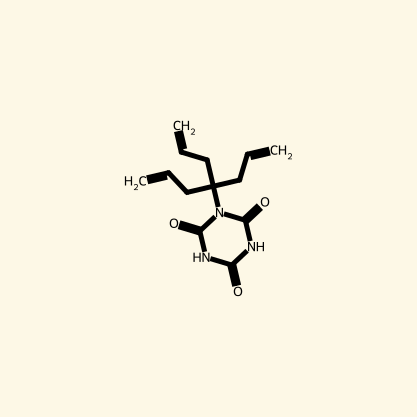 C=CCC(CC=C)(CC=C)n1c(=O)[nH]c(=O)[nH]c1=O